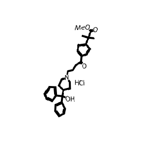 COC(=O)C(C)(C)c1ccc(C(=O)CCCN2CCC(C(O)(c3ccccc3)c3ccccc3)CC2)cc1.Cl